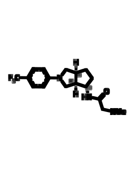 CNCC(=O)N[C@H]1CC[C@@H]2CN(c3ccc(C(F)(F)F)cc3)C[C@@H]21